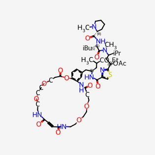 CCOC(=O)C(C)C[C@H](Cc1ccc2c(c1)NC(=O)CCOCCOCCNC(=O)C#CC(=O)NCCOCCOCCC(=O)O2)NC(=O)c1csc([C@@H](CC(C(C)C)N(C)C(=O)[C@@H](NC(=O)[C@H]2CCCCN2C)[C@@H](C)CC)OC(C)=O)n1